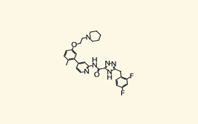 Cc1ccc(OCCN2CCCCC2)cc1-c1ccnc(NC(=O)c2nnc(Cc3ccc(F)cc3F)[nH]2)c1